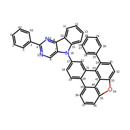 c1ccc(-c2ncc3c(n2)c2ccccc2n3-c2ccc3c(c2)c2c(-c4ccccc4)ccc4oc5cccc3c5c42)cc1